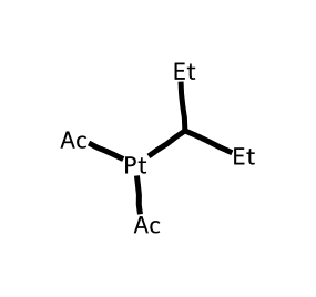 CC[CH](CC)[Pt]([C](C)=O)[C](C)=O